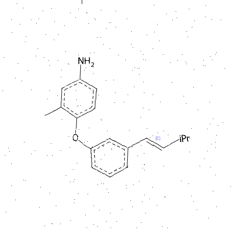 Cc1cc(N)ccc1Oc1cccc(/C=C/C(C)C)c1